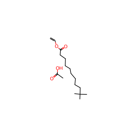 C=COC(=O)CCCCCCCCC(C)(C)C.CC(=O)O